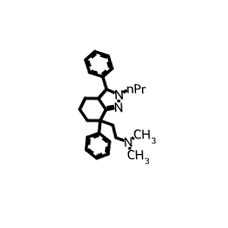 CCCN1N=C2C(CCCC2(CCN(C)C)c2ccccc2)C1c1ccccc1